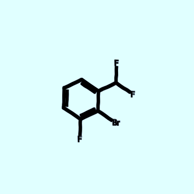 Fc1cccc(C(F)F)c1Br